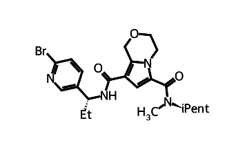 CCC[C@H](C)N(C)C(=O)c1cc(C(=O)N[C@H](CC)c2ccc(Br)nc2)c2n1CCOC2